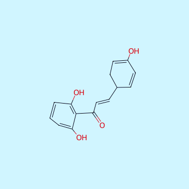 O=C(C=CC1C=CC(O)=CC1)c1c(O)cccc1O